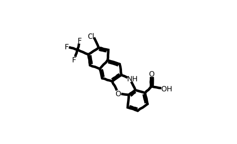 O=C(O)c1cccc2c1Nc1cc3cc(Cl)c(C(F)(F)F)cc3cc1O2